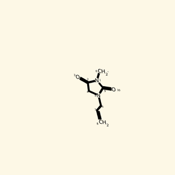 [CH2]N1C(=O)CN(CC=C)C1=O